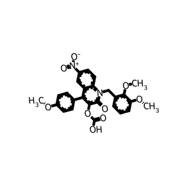 COc1ccc(-c2c(OC(=O)O)c(=O)n(Cc3cccc(OC)c3OC)c3ccc([N+](=O)[O-])cc23)cc1